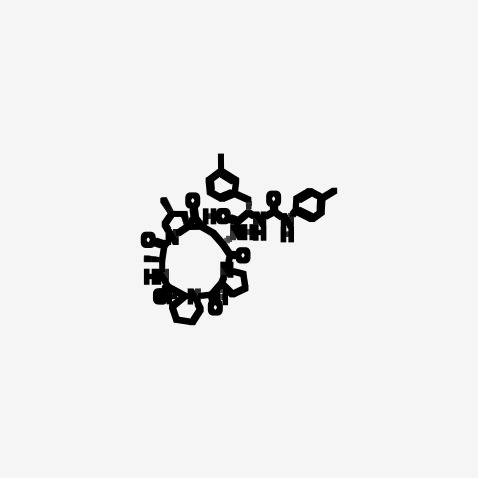 Cc1ccc(NC(=O)N[C@@H](Cc2cccc(C)c2)C(=O)N[C@H]2C[C@H]3C(=O)[C@]34C[C@H](C)CN4C(=O)[C@H](C)NC(=O)[C@@H]3CCCCN3C(=O)[C@@H]3CCCN3C2=O)cc1